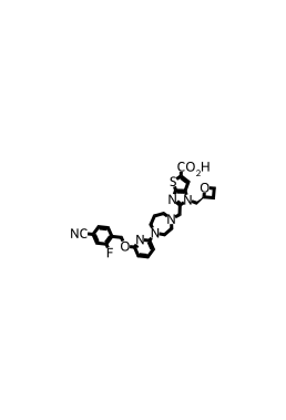 N#Cc1ccc(COc2cccc(N3CCCN(Cc4nc5sc(C(=O)O)cc5n4C[C@@H]4CCO4)CC3)n2)c(F)c1